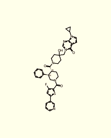 O=C(c1sc(-c2cccnc2)cc1F)N1CC[C@@H](C(=O)N2CCC(O)(Cn3cnc4c(ccn4C4CC4)c3=O)CC2)[C@H](c2ccccc2)C1